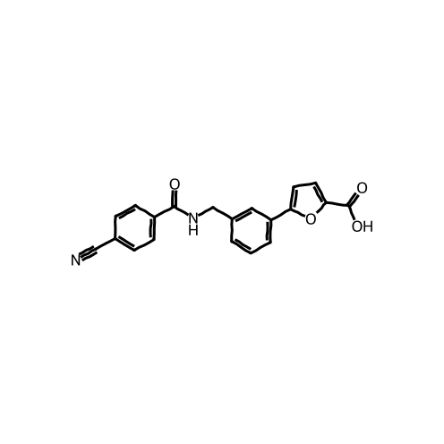 N#Cc1ccc(C(=O)NCc2cccc(-c3ccc(C(=O)O)o3)c2)cc1